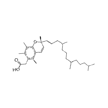 Cc1c(C)c2c(c(C)c1CC(=O)O)C=C[C@@](C)(CCCC(C)CCCC(C)CCCC(C)C)O2